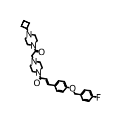 O=C(C=Cc1ccc(OCc2ccc(F)cc2)cc1)N1CCN(CC(=O)N2CCN(C3CCC3)CC2)CC1